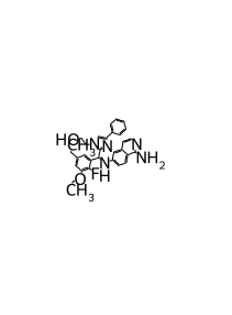 CCOc1cc(CC)cc(C(Nc2ccc3c(N)nccc3c2)c2nc(-c3ccccc3)cn2CCO)c1F